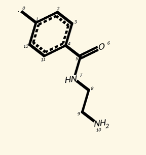 [CH2]c1ccc(C(=O)NCCN)cc1